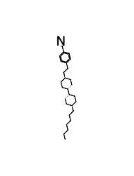 CCCCCCC[C@H]1CC[C@H]([C@H]2CC[C@H](CCc3ccc(C#N)cc3)CC2)CC1